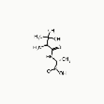 C[C@@H](NC(=O)C(N)C(C)(C)C)B(O)O